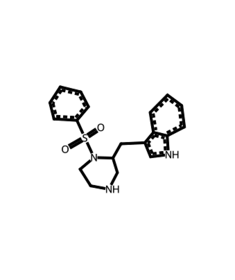 O=S(=O)(c1ccccc1)N1CCNCC1Cc1c[nH]c2ccccc12